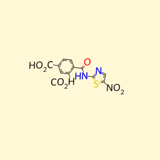 O=C(O)c1ccc(C(=O)Nc2ncc([N+](=O)[O-])s2)c(C(=O)O)c1